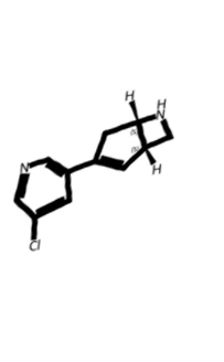 Clc1cncc(C2=C[C@H]3CN[C@H]3C2)c1